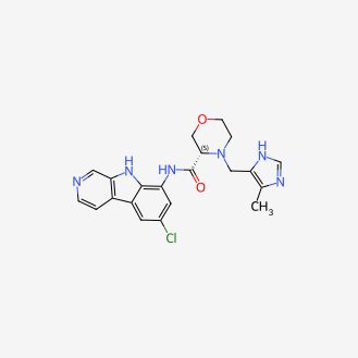 Cc1nc[nH]c1CN1CCOC[C@H]1C(=O)Nc1cc(Cl)cc2c1[nH]c1cnccc12